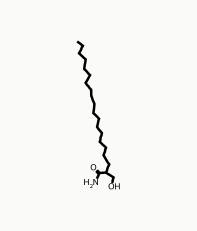 CCCCCCCCCCCCCCCCCCC(CO)C(N)=O